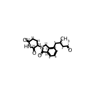 CC(CC=O)Cc1cccc2c1CN(C1CCC(=O)NC1=O)C2=O